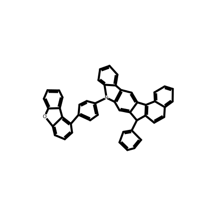 c1ccc(C2c3cc4c(cc3-c3c2ccc2ccccc32)c2ccccc2n4-c2ccc(-c3cccc4oc5ccccc5c34)cc2)cc1